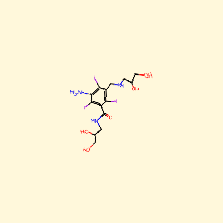 Nc1c(I)c(CNCC(O)CO)c(I)c(C(=O)NCC(O)CO)c1I